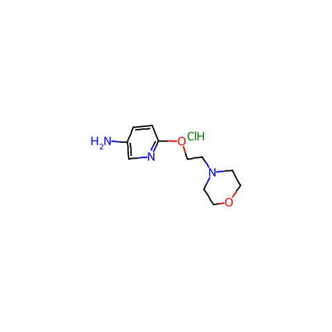 Cl.Nc1ccc(OCCN2CCOCC2)nc1